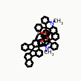 CC1=C(c2cccc3c2C2(c4ccccc4-c4ccccc42)c2ccc4ccccc4c2-3)\C(C)=C\C=C/C(C)(c2cccc3c2C(c2ccccc2)(c2ccccc2)c2ccccc2N3C)/C(c2cccc3c2C(c2ccccc2)(c2ccccc2)c2ccccc2N3C)=C/C=C\1